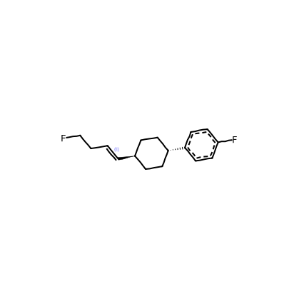 FCC/C=C/[C@H]1CC[C@H](c2ccc(F)cc2)CC1